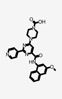 COc1cc(NC(=O)c2cc(N3CCN(C(=O)O)CC3)nc(-c3ccncc3)n2)c2ccccc2c1